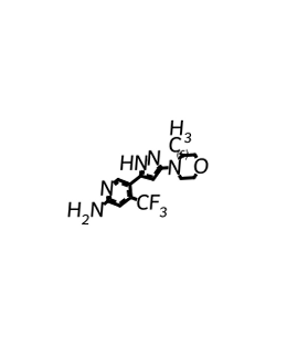 C[C@H]1COCCN1c1cc(-c2cnc(N)cc2C(F)(F)F)[nH]n1